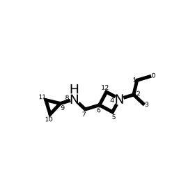 CCC(C)N1CC(CNC2CC2)C1